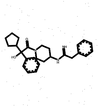 N=C(Cc1ccccc1)NC1CCN(C(=O)C(O)(c2ccccc2)C2CCCC2)CC1